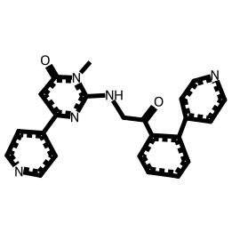 Cn1c(NCC(=O)c2ccccc2-c2ccncc2)nc(-c2ccncc2)cc1=O